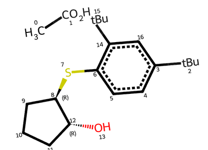 CC(=O)O.CC(C)(C)c1ccc(S[C@@H]2CCC[C@H]2O)c(C(C)(C)C)c1